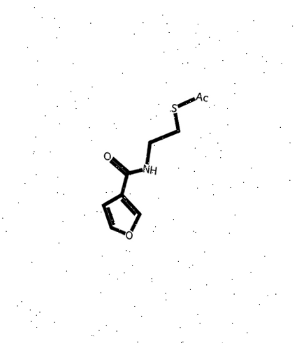 CC(=O)SCCNC(=O)c1ccoc1